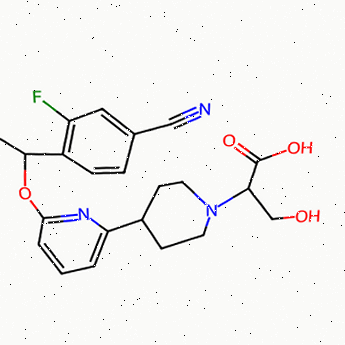 CC(Oc1cccc(C2CCN(C(CO)C(=O)O)CC2)n1)c1ccc(C#N)cc1F